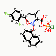 CC(C)[C@@H](C(=O)OP(=O)(O)Cl)N(OCc1ccc(F)cc1F)Oc1cccc2ccccc12